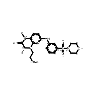 COCCN1c2nc(Nc3cccc(S(=O)(=O)N4CCOCC4)c3)ccc2N(C)C(=O)[C@H]1C